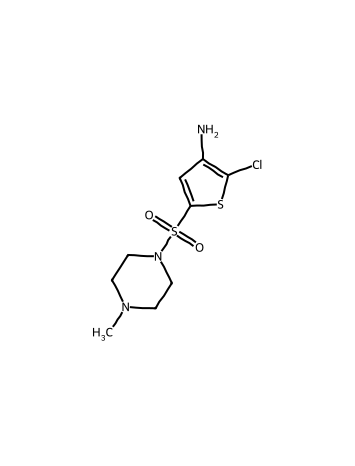 CN1CCN(S(=O)(=O)c2cc(N)c(Cl)s2)CC1